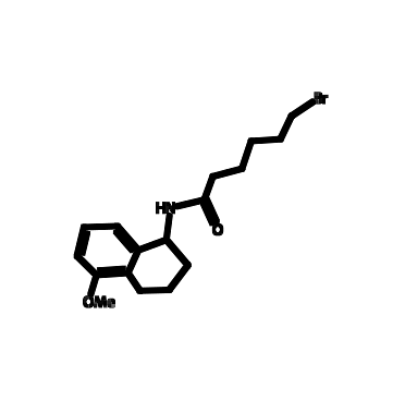 COc1cccc2c1CCCC2NC(=O)CCCCCBr